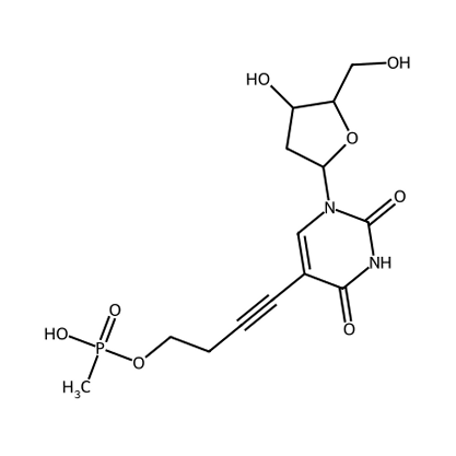 CP(=O)(O)OCCC#Cc1cn(C2CC(O)C(CO)O2)c(=O)[nH]c1=O